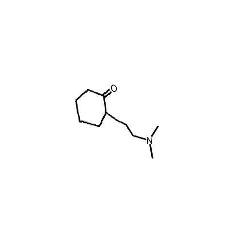 CN(C)CCC1CCCCC1=O